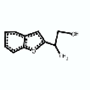 CC(CO)c1cc2ccccc2o1